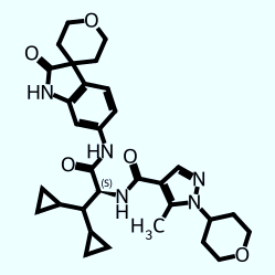 Cc1c(C(=O)N[C@H](C(=O)Nc2ccc3c(c2)NC(=O)C32CCOCC2)C(C2CC2)C2CC2)cnn1C1CCOCC1